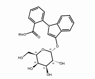 COC(=O)c1ccccc1-n1cc(O[C@H]2O[C@H](CO)[C@H](O)[C@H](O)[C@H]2O)c2ccccc21